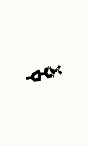 Cc1ccc(-c2cnc(N(C)C)nc2)cc1